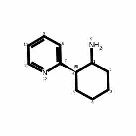 NC1CCCC[C@H]1c1ccccn1